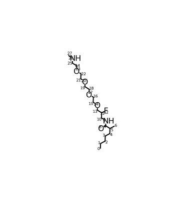 CCCCCC(C)C(=O)NCC(F)COCCOCCOCCOCCNC